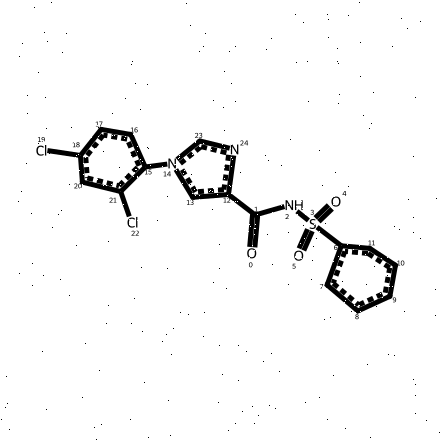 O=C(NS(=O)(=O)c1ccccc1)c1cn(-c2ccc(Cl)cc2Cl)cn1